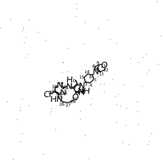 C/C(NC1CCC(N2CC3CC2CO3)CC1)=C1\Nc2ncc(Cl)c(n2)NCCCOC1=N